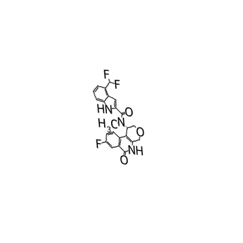 CN(C(=O)c1cc2c(C(F)F)cccc2[nH]1)[C@@H]1COCc2[nH]c(=O)c3cc(F)ccc3c21